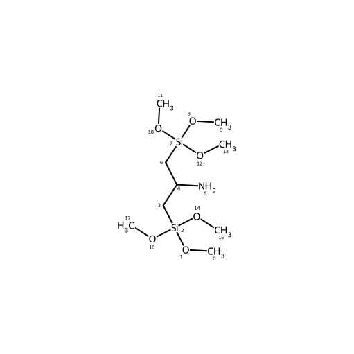 CO[Si](CC(N)C[Si](OC)(OC)OC)(OC)OC